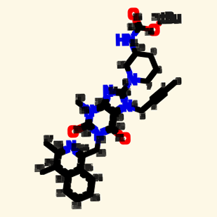 CC#CCn1c(N2CCCC(NC(=O)OC(C)(C)C)C2)nc2c1c(=O)n(Cc1nc(C)c(C)c3ccccc13)c(=O)n2C